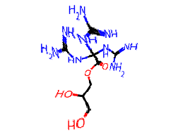 N=C(N)NC(NC(=N)N)(NC(=N)N)C(=O)OCC(O)CO